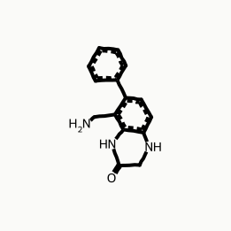 NCc1c(-c2ccccc2)ccc2c1NC(=O)CN2